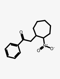 O=C(CC1CCCCCC1[N+](=O)[O-])c1ccccc1